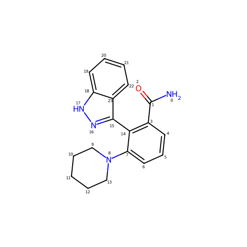 NC(=O)c1cccc(N2CCCCC2)c1-c1n[nH]c2ccccc12